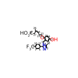 Cc1cnc(-c2ccc(C(F)(F)F)cc2)n1Cc1cc(O)ccc1OCCCC(C)CC(=O)O